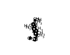 C[C@@H]1C[C@H](CC(C)(C)O)O[C@@H]2C[C@@]3(C)C4CCC5C(C)(C)C(OC6CN(C7COC7)CCO6)CCC56CC46CCC3(C)C12